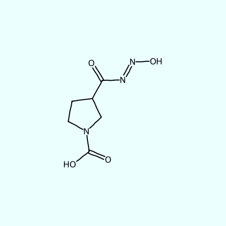 O=C(N=NO)C1CCN(C(=O)O)C1